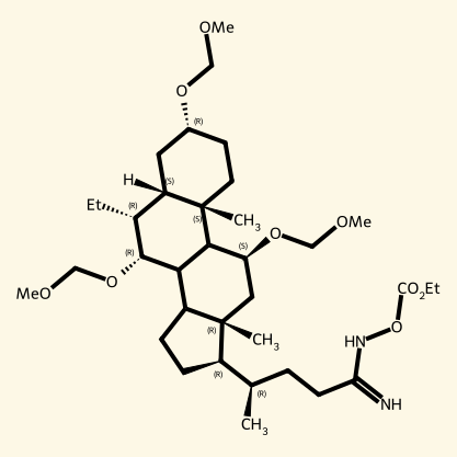 CCOC(=O)ONC(=N)CC[C@@H](C)[C@H]1CCC2C3C([C@@H](OCOC)C[C@@]21C)[C@@]1(C)CC[C@@H](OCOC)C[C@H]1[C@@H](CC)[C@H]3OCOC